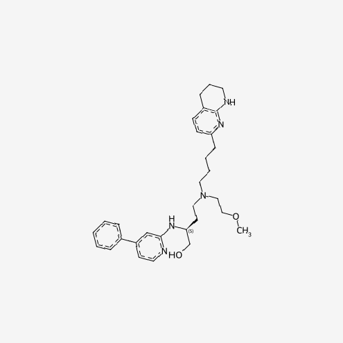 COCCN(CCCCc1ccc2c(n1)NCCC2)CC[C@@H](CO)Nc1cc(-c2ccccc2)ccn1